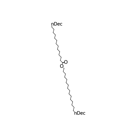 CCCCCCCCCCCCCCCCCCCCCCCCCCOC(=O)CCCCCCCCCCCCCCCCCCCCCCC